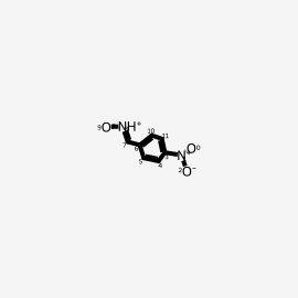 O=[N+]([O-])c1ccc(C=[NH+][O-])cc1